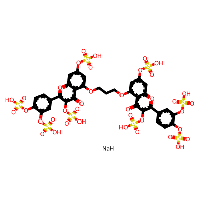 O=c1c(OS(=O)(=O)O)c(-c2ccc(OS(=O)(=O)O)c(OS(=O)(=O)O)c2)oc2cc(OS(=O)(=O)O)cc(OCCCOc3cc(OS(=O)(=O)O)cc4oc(-c5ccc(OS(=O)(=O)O)c(OS(=O)(=O)O)c5)c(OS(=O)(=O)O)c(=O)c34)c12.[NaH]